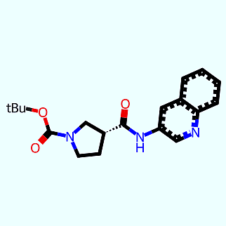 CC(C)(C)OC(=O)N1CC[C@@H](C(=O)Nc2cnc3ccccc3c2)C1